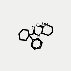 O=C1NCCC[C@@H]1NC(=O)C1(c2ccccc2)CCCCC1